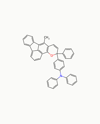 Cc1c2c(c3cccc4c3c1-c1ccccc1-4)OC(c1ccccc1)(c1ccc(N(c3ccccc3)c3ccccc3)cc1)C=C2